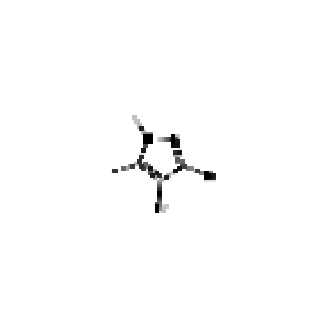 Cc1c(Br)c(Br)nn1C